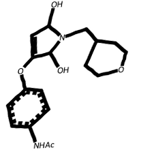 CC(=O)Nc1ccc(OC2=CC(O)N(CC3CCOCC3)C2O)cc1